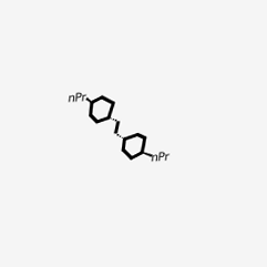 CCC[C@H]1CC[C@H](CC[C@H]2CC[C@H](CCC)CC2)CC1